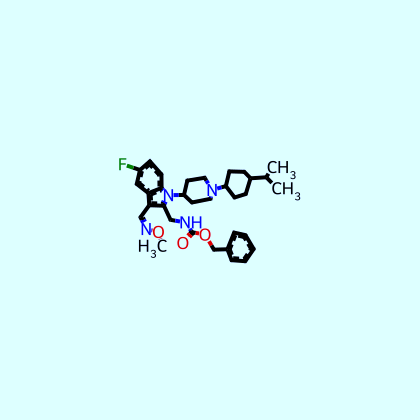 CO/N=C\c1c(CNC(=O)OCc2ccccc2)n(C2CCN(C3CCC(C(C)C)CC3)CC2)c2ccc(F)cc12